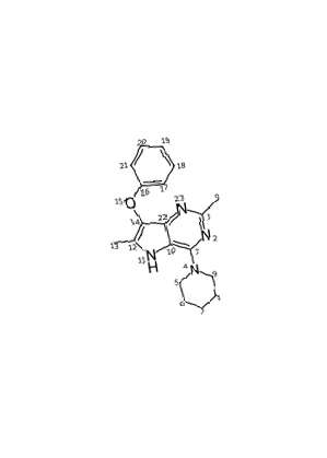 Cc1nc(N2CCCCC2)c2[nH]c(C)c(Oc3ccccc3)c2n1